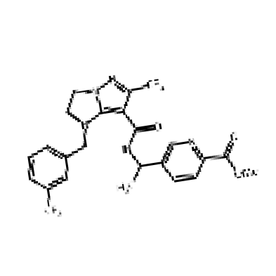 COC(=O)c1ccc(C(C)NC(=O)c2c(C(F)(F)F)nn3c2N(Cc2cccc(C(F)(F)F)c2)CC3)cn1